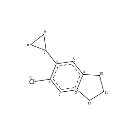 Clc1cc2c([c]c1C1CC1)CCC2